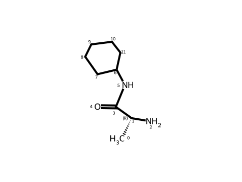 C[C@@H](N)C(=O)NC1CCCCC1